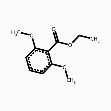 CCOC(=O)c1c(OC)c[c]cc1OC